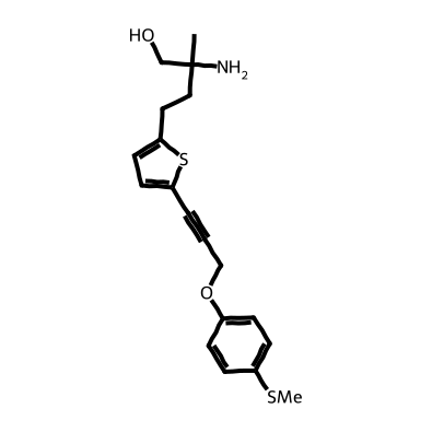 CSc1ccc(OCC#Cc2ccc(CCC(C)(N)CO)s2)cc1